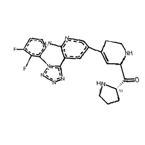 Nc1ncc(C2=CC(C(=O)[C@@H]3CCCN3)NCC2)cc1-c1nnnn1-c1cccc(F)c1F